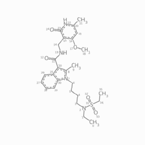 CCN(CCCCn1c(C)c(C(=O)NCc2c(OC)cc(C)[nH]c2=O)c2ccccc21)S(=O)(=O)CC